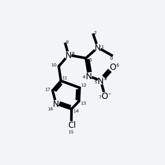 CN(C)C(=N[N+](=O)[O-])N(C)Cc1ccc(Cl)nc1